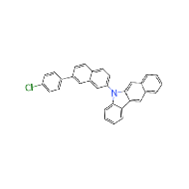 Clc1ccc(-c2ccc3ccc(-n4c5ccccc5c5cc6ccccc6cc54)cc3c2)cc1